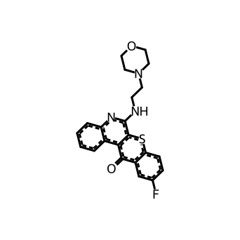 O=c1c2cc(F)ccc2sc2c(NCCN3CCOCC3)nc3ccccc3c12